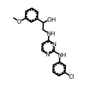 COc1cccc(C(O)CNc2ccnc(Nc3cccc(Cl)c3)n2)c1